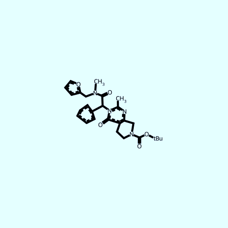 Cc1nc2c(c(=O)n1C(C(=O)N(C)Cc1ccco1)c1ccccc1)CCN(C(=O)OC(C)(C)C)C2